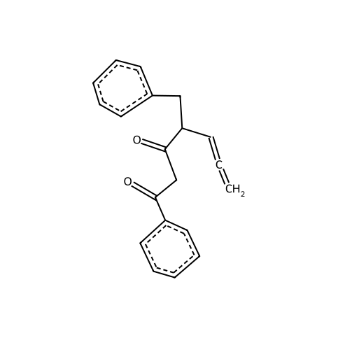 C=C=CC(Cc1ccccc1)C(=O)CC(=O)c1ccccc1